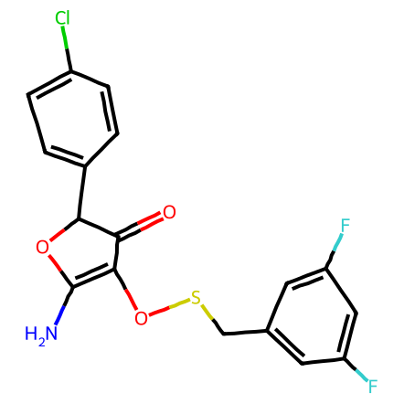 NC1=C(OSCc2cc(F)cc(F)c2)C(=O)C(c2ccc(Cl)cc2)O1